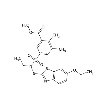 CCOc1ccc2nc(SN(CC)S(=O)(=O)c3cc(C)c(C)c(C(=O)OC)c3)sc2c1